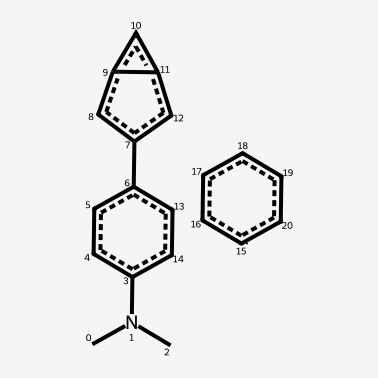 CN(C)c1ccc(-c2cc3[c]c-3c2)cc1.[c]1ccccc1